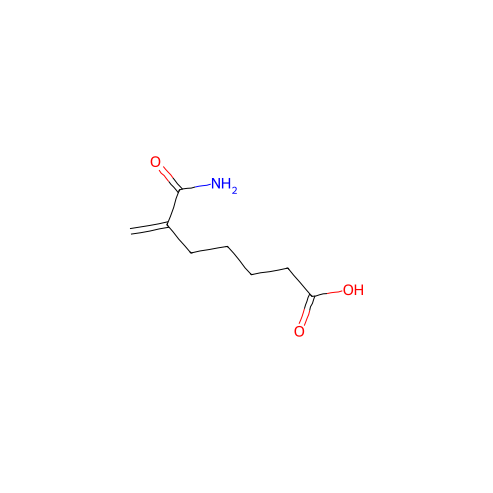 C=C(CCCCC(=O)O)C(N)=O